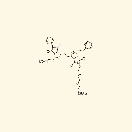 CCOCCC1OC(CCC2OC(CCc3ccccc3)C3C(=O)N(CCOCCOCCOC)C(=O)C23)C2C(=O)N(c3ccccc3)C(=O)C12